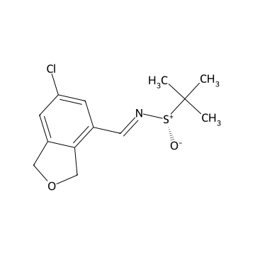 CC(C)(C)[S@+]([O-])N=Cc1cc(Cl)cc2c1COC2